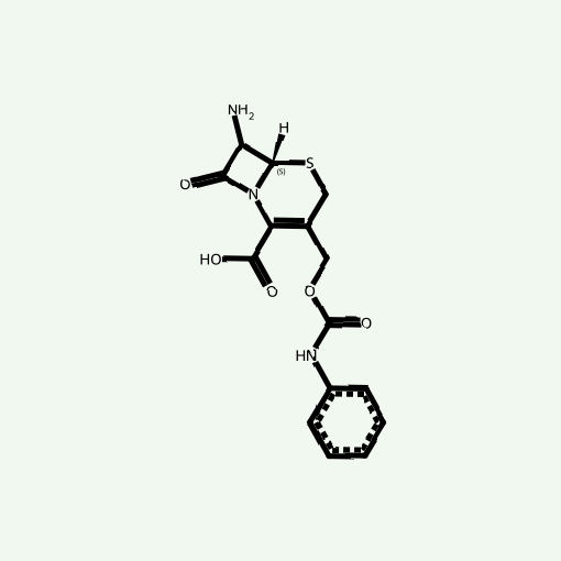 NC1C(=O)N2C(C(=O)O)=C(COC(=O)Nc3ccccc3)CS[C@@H]12